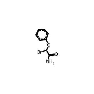 NC(=O)C(Br)Oc1ccccc1